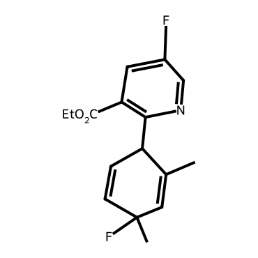 CCOC(=O)c1cc(F)cnc1C1C=CC(C)(F)C=C1C